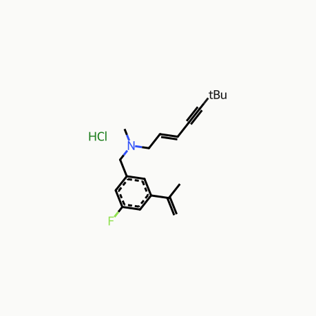 C=C(C)c1cc(F)cc(CN(C)CC=CC#CC(C)(C)C)c1.Cl